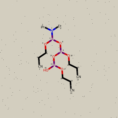 CCN(C(C)C)P(OCCC#N)OP(OCCC#N)OP(O)OCCC#N